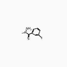 CN(N)C(=S)c1cccc(F)c1